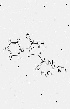 CC(=O)C(CCC(=O)NC(C)C)c1ccccc1